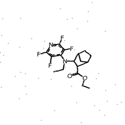 CCOC(=O)C1C2CCC(C2)C1N(CC)c1c(F)c(F)nc(F)c1F